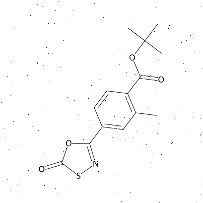 Cc1cc(-c2nsc(=O)o2)ccc1C(=O)OC(C)(C)C